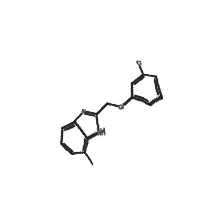 Cc1cccc2nc(COc3cccc(Cl)c3)[nH]c12